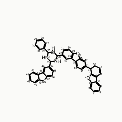 C1=Cc2c(oc3ccccc23)C(c2ccc3c(c2)oc2ccc(C4NC(c5ccccc5)NC(c5ccc6sc7ccccc7c6c5)N4)cc23)C1